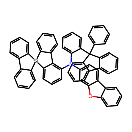 c1ccc(C2(c3ccccc3N(c3ccc4c(c3)oc3ccccc34)c3cccc4c3-c3ccccc3[Si]43c4ccccc4-c4ccccc43)c3ccccc3-c3ccccc32)cc1